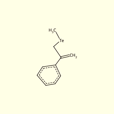 C=C(C[Te]C)c1ccccc1